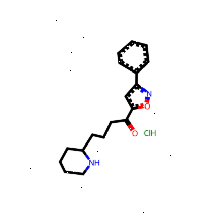 Cl.O=C(CCCC1CCCCN1)c1cc(-c2ccccc2)no1